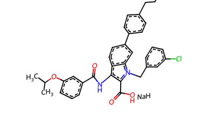 CCCCc1ccc(-c2ccc3c(NC(=O)c4cccc(OC(C)C)c4)c(C(=O)O)n(Cc4cccc(Cl)c4)c3c2)cc1.[NaH]